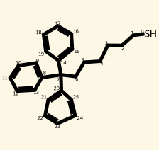 SCCCCCCC(c1ccccc1)(c1ccccc1)c1ccccc1